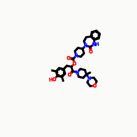 Cc1cc(CC(OC(=O)N2CCC(N3CCc4ccccc4NC3=O)CC2)C(=O)N2CCC(C)(N3CCOCC3)CC2)cc(C)c1O